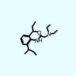 CCC(C)c1cccc(C(C)CC)c1NC(=O)CN(CC)CC